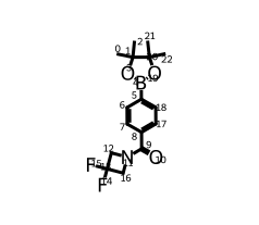 CC1(C)OB(c2ccc(C(=O)N3CC(F)(F)C3)cc2)OC1(C)C